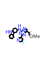 COC[C@@H](C)c1cnn2c(NC3CCc4[nH]c5ccccc5c4C3)nc(-c3cncc(F)c3)nc12